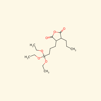 CCCC1C(=O)OC(=O)C1CCC[Si](OCC)(OCC)OCC